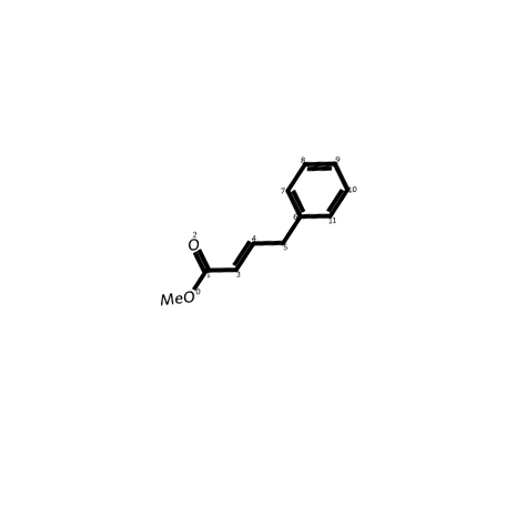 COC(=O)C=CCc1ccccc1